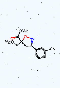 COCC1(C(=O)OC)CC(c2cccc(C#N)c2)=NO1